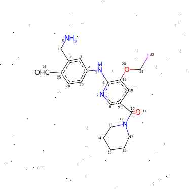 NCc1cc(Nc2ncc(C(=O)N3CCCCC3)cc2OCI)ccc1C=O